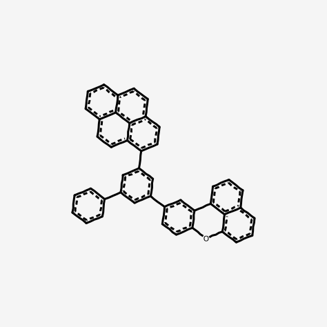 c1ccc(-c2cc(-c3ccc4c(c3)-c3cccc5cccc(c35)O4)cc(-c3ccc4ccc5cccc6ccc3c4c56)c2)cc1